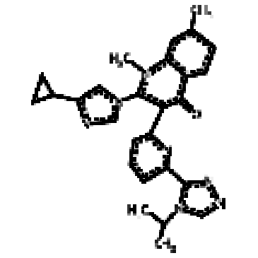 Cc1ccc2c(=O)c(-c3cccc(-c4nncn4C(C)C)n3)c(-n3cnc(C4CC4)c3)n(C)c2c1